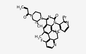 C=CC(=O)N1CCN(c2nc(=O)n(-c3c(C)ccnc3C(C)C)c3c4c(c(C)cc23)-c2c(F)ccnc2CO4)[C@@H](C)C1